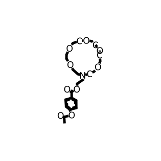 CC(=O)Oc1ccc(C(=O)OCCN2CCOCCOCCOCCOCCOCC2)cc1